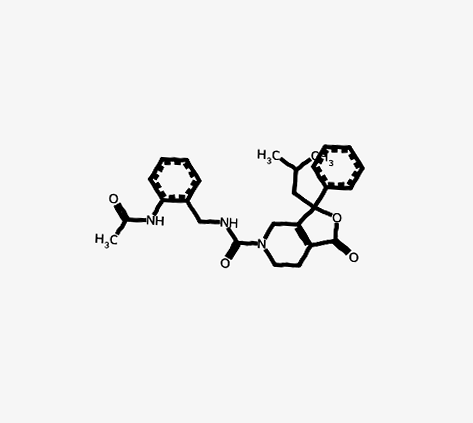 CC(=O)Nc1ccccc1CNC(=O)N1CCC2=C(C1)C(CC(C)C)(c1ccccc1)OC2=O